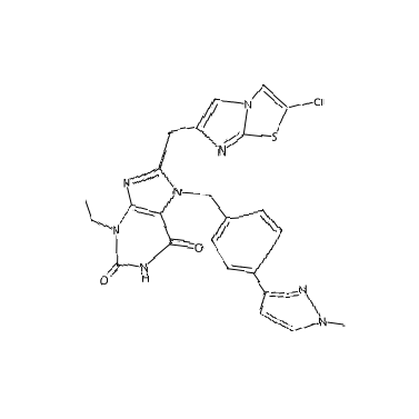 CCn1c(=O)[nH]c(=O)c2c1nc(Cc1cn3cc(Cl)sc3n1)n2Cc1ccc(-c2ccn(C)n2)cc1